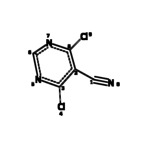 N#Cc1c(Cl)n[c]nc1Cl